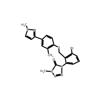 CCc1cccc(-n2nnn(C)c2=O)c1COc1ccc(-c2ccn(C)n2)cc1C